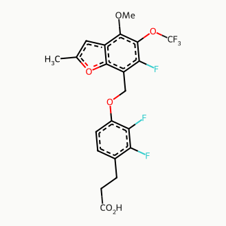 COc1c(OC(F)(F)F)c(F)c(COc2ccc(CCC(=O)O)c(F)c2F)c2oc(C)cc12